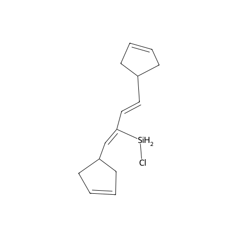 Cl[SiH2]C(C=CC1CC=CC1)=CC1CC=CC1